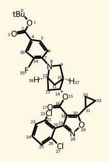 CC(C)(C)OC(=O)c1ccc(N2C[C@@H]3C[C@H]2C[C@H]3OC(=O)c2c(-c3c(Cl)cccc3Cl)noc2C2CC2)c(F)c1